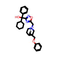 OC(c1ccccc1)(c1noc(C[N+]23CCC(CC2)C(COc2ccccc2)C3)n1)C1CCCCC1